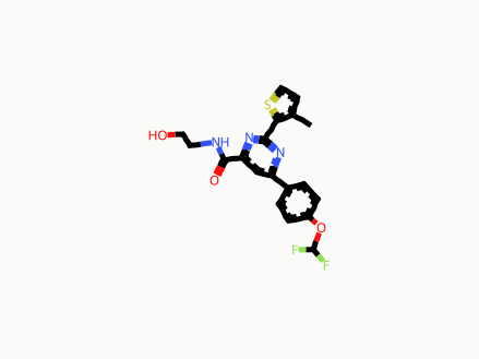 Cc1ccsc1-c1nc(C(=O)NCCO)cc(-c2ccc(OC(F)F)cc2)n1